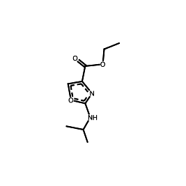 CCOC(=O)c1coc(NC(C)C)n1